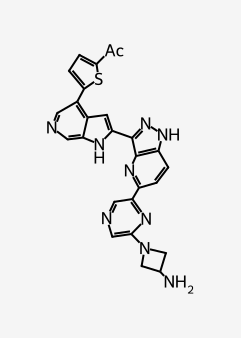 CC(=O)c1ccc(-c2cncc3[nH]c(-c4n[nH]c5ccc(-c6cncc(N7CC(N)C7)n6)nc45)cc23)s1